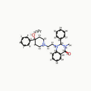 CCCOC1(c2ccccc2)CCN(CCN2c3ccccc3C(=O)N(C)C2c2ccccc2)CC1